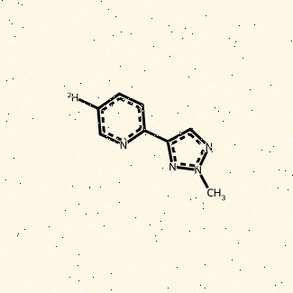 [2H]c1ccc(-c2cnn(C)n2)nc1